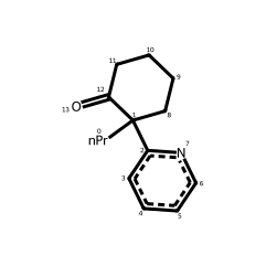 CCCC1(c2ccccn2)CCCCC1=O